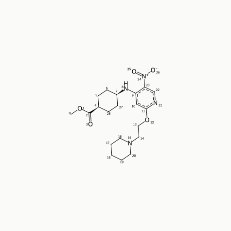 COC(=O)[C@H]1CC[C@@H](Nc2cc(OCCN3CCCCC3)ncc2[N+](=O)[O-])CC1